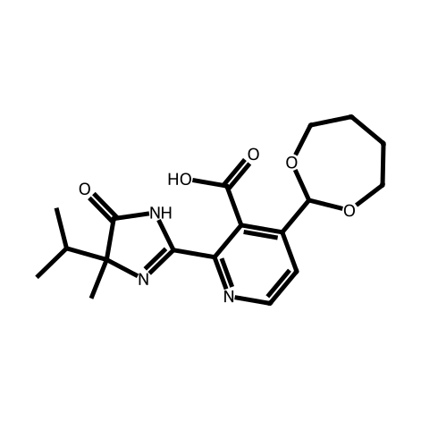 CC(C)C1(C)N=C(c2nccc(C3OCCCCO3)c2C(=O)O)NC1=O